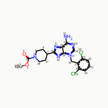 CC(C)(C)OC(=O)N1CCC(c2nc3c(N)ncn(Cc4c(Cl)cccc4Cl)c-3n2)CC1